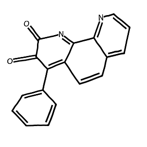 O=C1N=c2c(ccc3cccnc23)=C(c2ccccc2)C1=O